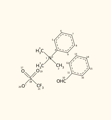 C[N+](C)(C)c1ccccc1.O=Cc1ccccc1.O=S(=O)([O-])C(F)(F)F